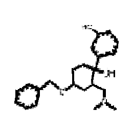 CN(C)CC1CC(OCc2ccccc2)CCC1(O)c1cccc(O)c1